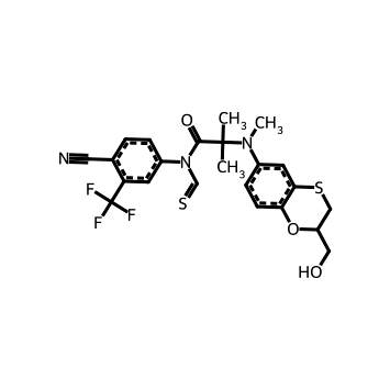 CN(c1ccc2c(c1)SCC(CO)O2)C(C)(C)C(=O)N(C=S)c1ccc(C#N)c(C(F)(F)F)c1